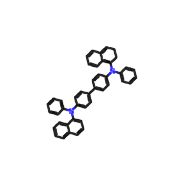 C1=c2ccccc2=C(N(c2ccccc2)c2ccc(-c3ccc(N(c4ccccc4)c4cccc5ccccc45)cc3)cc2)CC1